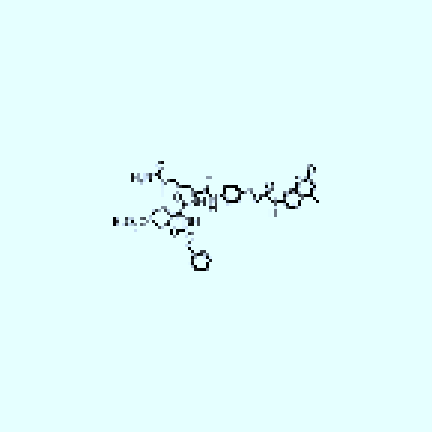 CCOC(=O)N1CCC([C@H](NC(=O)OCc2ccccc2)C(=O)N[C@@H](CCCNC(N)=O)C(=O)Nc2ccc(COC(=O)Nc3ccc4c(C)cc(=O)oc4c3)cc2)CC1